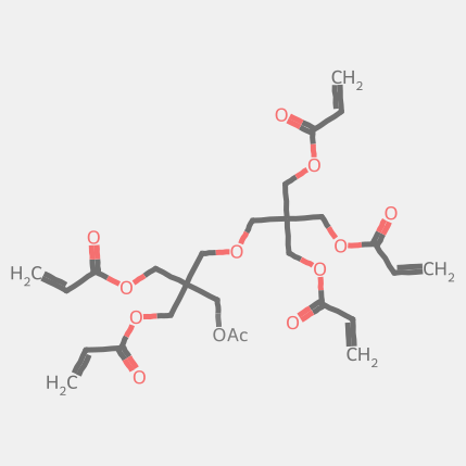 C=CC(=O)OCC(COCC(COC(=O)C=C)(COC(=O)C=C)COC(=O)C=C)(COC(C)=O)COC(=O)C=C